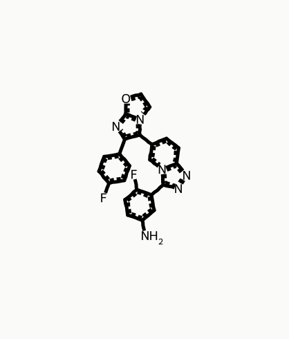 Nc1ccc(F)c(-c2nnc3ccc(-c4c(-c5ccc(F)cc5)nc5occn45)cn23)c1